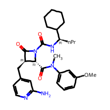 CCC[C@@H](NC(=O)N1C(=O)[C@H](Cc2ccnc(N)c2)[C@H]1C(=O)N(C)c1cccc(OC)c1)C1CCCCC1